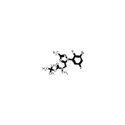 Cc1nc(CN(C)C(=O)OC(C)(C)C)n(-c2cc(F)cc(Br)c2F)n1